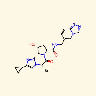 CC(C)(C)[C@@H](C(=O)N1C[C@H](O)C[C@H]1C(=O)NCc1ccc2nncn2c1)n1cc(C2CC2)nn1